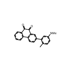 CNc1ccc(C)c(-c2ccc3c(c2)C(=O)C(=O)c2ccccc2-3)c1